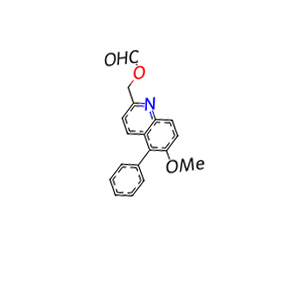 COc1ccc2nc(COC=O)ccc2c1-c1ccccc1